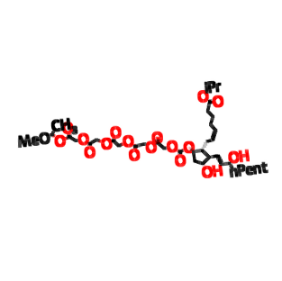 CCCCC[C@H](O)/C=C/[C@@H]1[C@@H](C/C=C\CCCC(=O)OC(C)C)[C@@H](OC(=O)OCC(=O)OCC(=O)OCC(=O)OCC(=O)OCC(=O)OC(C)OC)C[C@H]1O